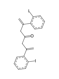 C=C(CC(=O)CC(=C)c1ccccc1I)c1ccccc1I